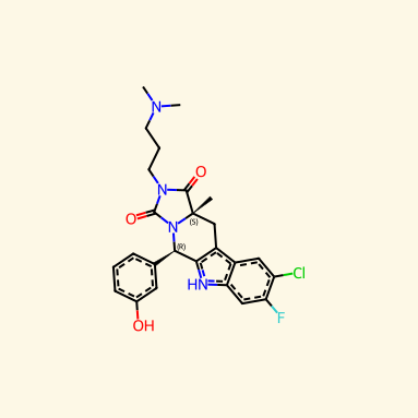 CN(C)CCCN1C(=O)N2[C@H](c3cccc(O)c3)c3[nH]c4cc(F)c(Cl)cc4c3C[C@@]2(C)C1=O